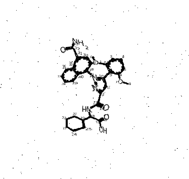 COc1cccc(OC)c1-c1cc(C(=O)NC(C(=O)O)C2CCCCC2)nn1-c1ccc(C(N)=O)c2ccccc12